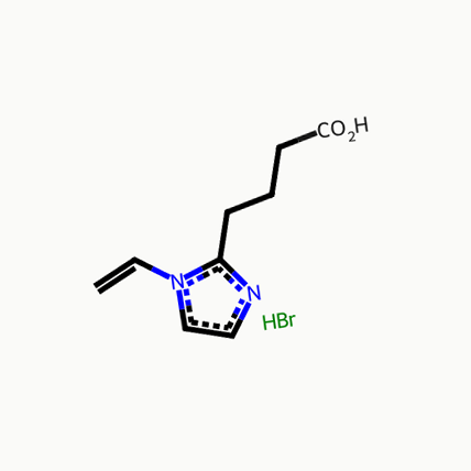 Br.C=Cn1ccnc1CCCC(=O)O